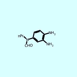 [CH2]CCN(C=O)c1ccc(N)c(N)c1